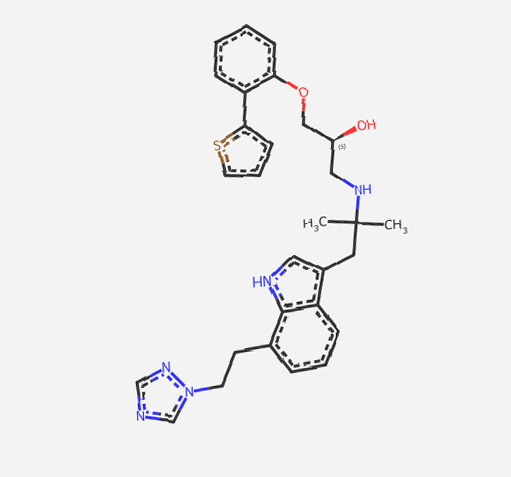 CC(C)(Cc1c[nH]c2c(CCn3cncn3)cccc12)NC[C@H](O)COc1ccccc1-c1cccs1